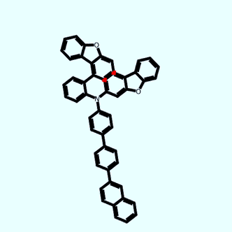 c1ccc(N(c2ccc(-c3ccc(-c4ccc5ccccc5c4)cc3)cc2)c2ccc3c(c2)oc2ccccc23)c(-c2cccc3oc4ccccc4c23)c1